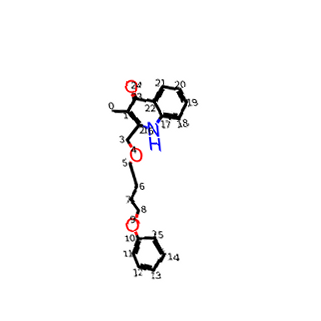 Cc1c(COCCCCOc2ccccc2)[nH]c2ccccc2c1=O